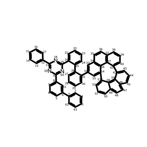 c1ccc(-c2cccc(-c3nc(-c4ccccc4)nc(-c4ccccc4-c4ccccc4-c4cc5ccc6cccc7c8cccc9ccc%10cccc(c(c4)c5c67)c%10c98)n3)c2)cc1